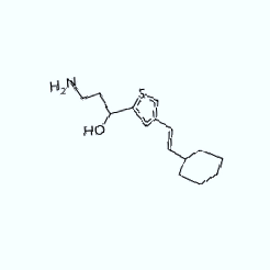 NCCC(O)c1cc(/C=C/C2CCCCC2)cs1